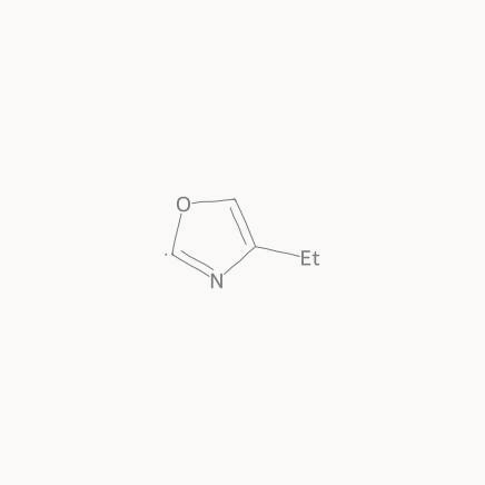 CCc1co[c]n1